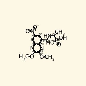 COc1nc2cc([N+](=O)[O-])cc(CNC(C)P(=O)(O)O)c2nc1OC